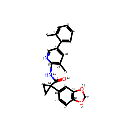 Cc1ccccc1-c1cnc(NC(=O)C2(c3ccc4c(c3)OCO4)CC2)c(C)c1